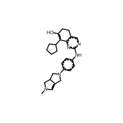 CN1C=C2CN(c3ccc(Nc4ncc5c(n4)C(C4CCCC4)=C(O)CC5)cc3)CC2C1